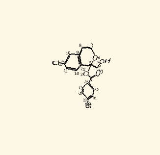 O=C(OC1(CO)OCCc2cc(Cl)ccc21)c1ccc(Br)cc1